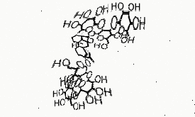 C=C1C[C@@]23CCC4[C@](C)(C(=O)OC5OC(CO)C(O)C(OC6OC(CO)C(O)C(O)C6O)C5OC5OC(C)C(O)C(O)C5O)CCC[C@@]4(C)[C@@H]2CC[C@]1(OC1OC(CO)C(O)C(OC2OC(CO)C(O)C(O)C2O)C1OC1OC(CO)C(O)C(O)C1O)C3